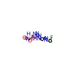 Nc1ncnc(Nc2ccc3c(cnn3Cc3cccc(F)c3)c2)c1C=NOCC(=O)N1CCOCC1